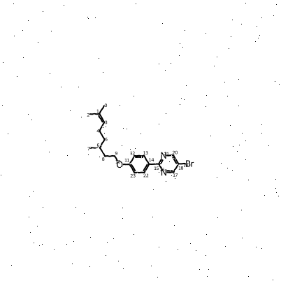 CC(C)=CCC[C@H](C)CCOc1ccc(-c2ncc(Br)cn2)cc1